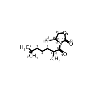 C=C(C)CCC[C@H](C)C(=O)N1C(=O)OC[C@@H]1C(C)C